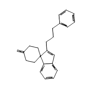 O=C1CCC2(CC1)C(CCCc1ccccc1)=Cc1ccccc12